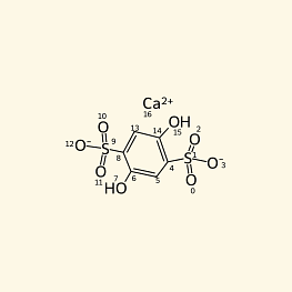 O=S(=O)([O-])c1cc(O)c(S(=O)(=O)[O-])cc1O.[Ca+2]